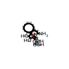 NC1=N\C(=O)CCC2(/C=C\1)CCCCCCCCCCC2C1OC(COP(=O)(O)O)C(O)C1O